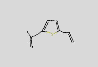 C=Cc1ccc(C(=C)C)s1